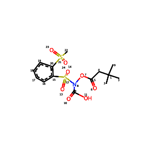 CC(C)(C)CC(=O)ON(C(=O)O)S(=O)(=O)c1ccccc1S(C)(=O)=O